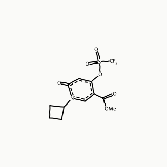 COC(=O)c1cn(C2CCC2)c(=O)cc1OS(=O)(=O)C(F)(F)F